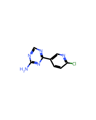 Nc1ncnc(-c2ccc(Cl)nc2)n1